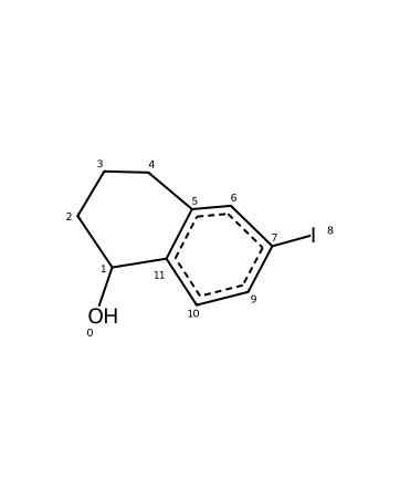 OC1CCCc2cc(I)ccc21